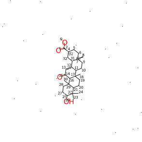 COC(=O)[C@H]1CC[C@]2(C)CCC3C(=CC(=O)C4C3(C)CCC3C(C)(C)C(O)CCC34C)C2C1